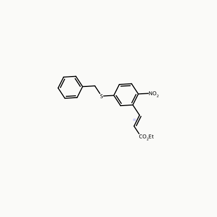 CCOC(=O)/C=C/c1cc(SCc2ccccc2)ccc1[N+](=O)[O-]